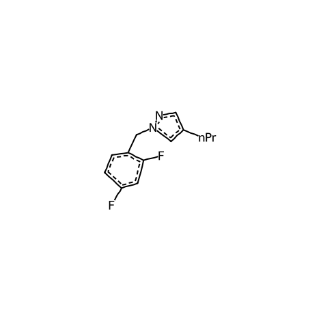 CCCc1cnn(Cc2ccc(F)cc2F)c1